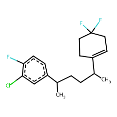 CC(CCC(C)c1ccc(F)c(Cl)c1)C1=CCC(F)(F)CC1